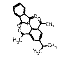 CC(=O)c1cc(C(C)C)cc(C(C)=O)c1N1C(=O)c2ccccc2C1=O